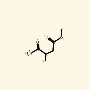 COC(=O)CC(C)C(N)=O